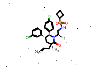 C=CC[C@@]1(C)C[C@H](c2cccc(Cl)c2)[C@@H](c2ccc(Cl)cc2)N([C@H](CC)CNS(=O)(=O)C2CCC2)C1=O